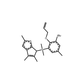 C=CCOc1c(C(C)(C)C)cc(C)cc1[Si](C)(C)C1C(C)=C(C)c2cc(C)sc21